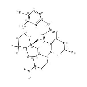 CC(C)N1CCC(Oc2ccc(Nc3ncc(F)c(N[C@@H]4C[C@@H]5CCCN5C(C)(C)C4)n3)cc2OC(F)F)CC1